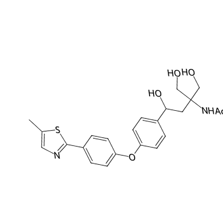 CC(=O)NC(CO)(CO)CC(O)c1ccc(Oc2ccc(-c3ncc(C)s3)cc2)cc1